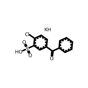 O=C(c1ccccc1)c1ccc(Cl)c(S(=O)(=O)O)c1.[KH]